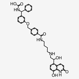 O=C(O)NC(c1ccccc1)c1cccc(OCc2ccc(C(=O)NCCCCNCC(O)c3ccc(O)c4[nH]c(=O)ccc34)cc2)c1